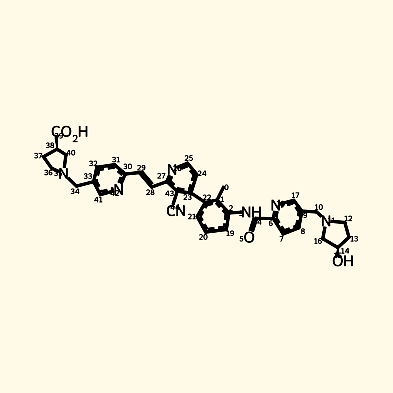 Cc1c(NC(=O)c2ccc(CN3CC[C@@H](O)C3)cn2)cccc1-c1ccnc(/C=C/c2ccc(CN3CC[C@@H](C(=O)O)C3)cn2)c1C#N